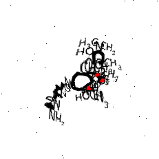 CCC(=O)/N=C1\[C@H](C)C[C@@]2(C)CC/C(=N/OCc3ccc(-c4nc(N)cs4)cn3)CC[C@H]([C@H]1C)[C@](C)(O)[C@@H](CC)OC(=O)[C@@](C)(F)C(=O)C(C)[C@H]2O[C@@H]1O[C@H](C)C[C@H](N(C)C)[C@H]1O